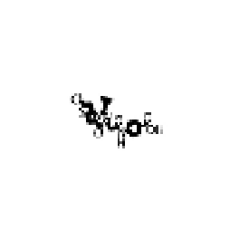 O=C(Cn1nc(C2CC2)n2c(cc3sc(Cl)cc32)c1=O)N[C@H]1CC[C@H](C(=O)O)CC1